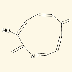 C=c1cccnc(=C)c(O)ccc1